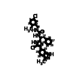 Cc1ccc(Cl)cc1CNC(=O)N[C@@H](Cc1ccccc1)c1nc(-c2ccc3c(C)n[nH]c3c2)c(Cl)[nH]1